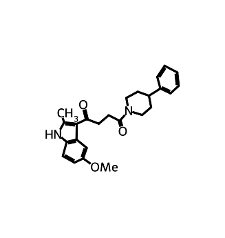 COc1ccc2[nH]c(C)c(C(=O)CCC(=O)N3CCC(c4ccccc4)CC3)c2c1